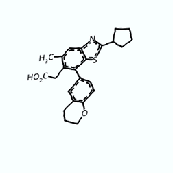 Cc1cc2nc(C3CCCC3)sc2c(-c2ccc3c(c2)CCCO3)c1CC(=O)O